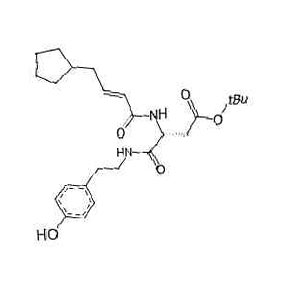 CC(C)(C)OC(=O)C[C@@H](NC(=O)/C=C/CC1CCCC1)C(=O)NCCc1ccc(O)cc1